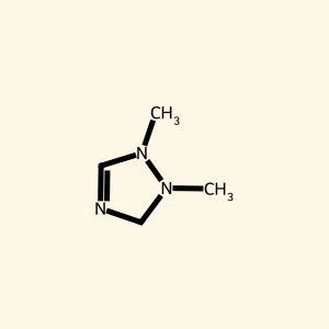 CN1C=NCN1C